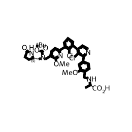 COc1cc(-c2nccc(-c3cccc(-c4ccc(CN(C[C@@H]5CCC(=O)N5)C(=O)OC(C)(C)C)c(OC)n4)c3Cl)c2Cl)ccc1CN[C@@H](C)C(=O)O